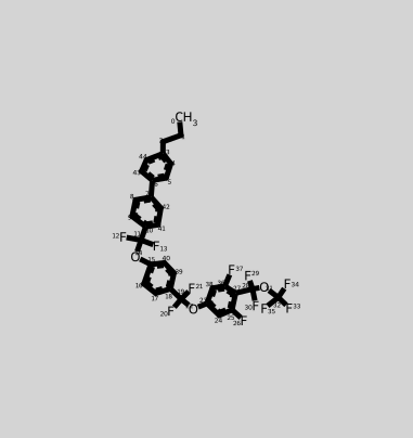 CCCc1ccc(-c2ccc(C(F)(F)Oc3ccc(C(F)(F)Oc4cc(F)c(C(F)(F)OC(F)(F)F)c(F)c4)cc3)cc2)cc1